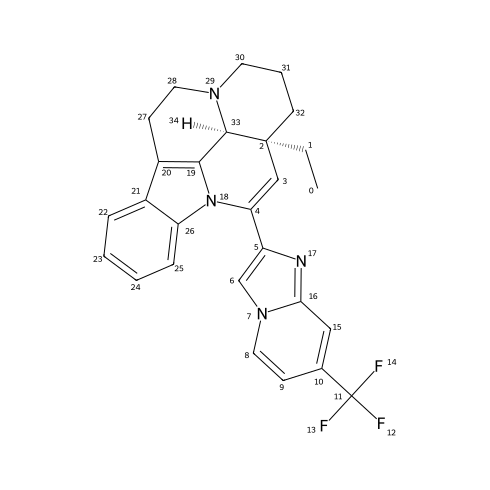 CC[C@@]12C=C(c3cn4ccc(C(F)(F)F)cc4n3)n3c4c(c5ccccc53)CCN(CCC1)[C@H]42